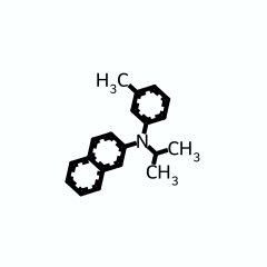 Cc1cccc(N(c2ccc3ccccc3c2)C(C)C)c1